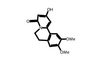 COc1cc2c(cc1OC)-c1cc(O)cc(=O)n1CC2